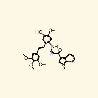 COc1cc(N/C=C\C(=O)c2cn(C)c3ccccc23)c(C=Cc2cc(OC)c(OC)c(OC)c2)cc1O